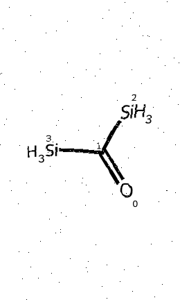 O=C([SiH3])[SiH3]